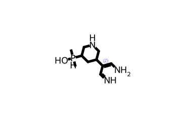 C[PH](C)(O)C1CNCC(/C(C=N)=C/N)C1